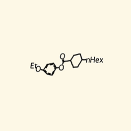 CCCCCCC1CCC(C(=O)Oc2ccc(OCC)cc2)CC1